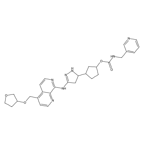 O=C(NCc1cccnc1)OC1CCC(C2CC(Nc3nccc4c(COC5CCOC5)ccnc34)=NN2)C1